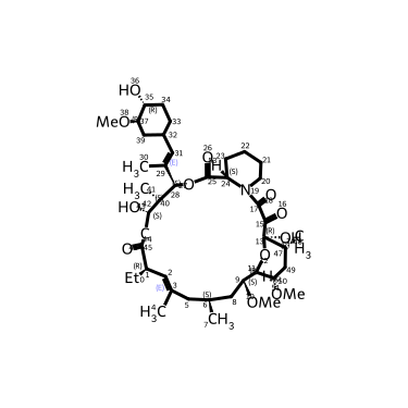 CC[C@@H]1/C=C(\C)C[C@H](C)C[C@H](OC)[C@H]2O[C@@](O)(C(=O)C(=O)N3CCCC[C@H]3C(=O)O[C@H](/C(C)=C/C3CC[C@@H](O)[C@H](OC)C3)[C@@H](C)[C@@H](O)CC1=O)[C@H](C)C[C@@H]2OC